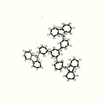 C1=CC2c3ccccc3N(c3cccc(-c4cc(-c5cccc(-n6c7ccccc7c7ccccc76)c5)cc(-c5cccc(-n6c7ccccc7c7ccccc76)c5)c4)c3)C2C=C1